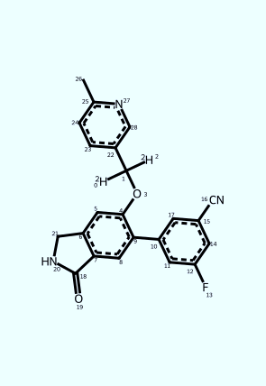 [2H]C([2H])(Oc1cc2c(cc1-c1cc(F)cc(C#N)c1)C(=O)NC2)c1ccc(C)nc1